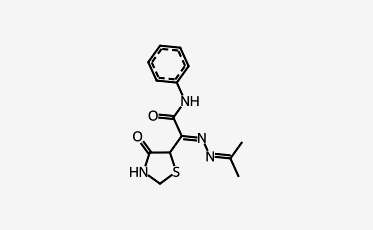 CC(C)=NN=C(C(=O)Nc1ccccc1)C1SCNC1=O